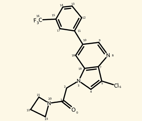 O=C(Cn1cc(Cl)c2ncc(-c3cccc(C(F)(F)F)c3)cc21)N1CCC1